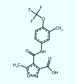 Cc1cc(NC(=O)c2c(C(=O)O)noc2C)ccc1OC(F)(F)F